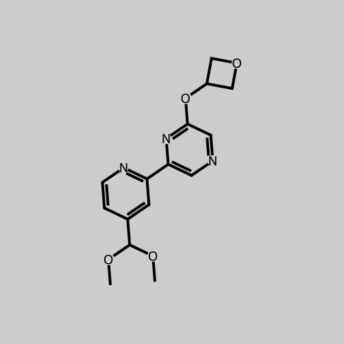 COC(OC)c1ccnc(-c2cncc(OC3COC3)n2)c1